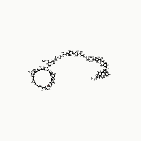 CO[C@H]1C[C@@H]2CC[C@@H](C)[C@@](O)(O2)C(=O)C(=O)N2CCCC[C@H]2C(=O)O[C@H]([C@H](C)C[C@@H]2CC[C@@H](OC(=O)NCCOCCC(=O)NCc3cnc(N4CCN(C(=O)CCOCCN5CCN(c6ncc(C(=O)N7CCc8cc(Cn9nc(-c%10ccc%11oc(N)nc%11c%10)c%10c(N)ncnc%109)ccc8C7)cn6)CC5)CC4)nc3)[C@H](OC)C2)CC(=O)[C@H](C)/C=C(\C)[C@@H](O)[C@@H](OC)C(=O)[C@H](C)C[C@H](C)/C=C/C=C/C=C/1C